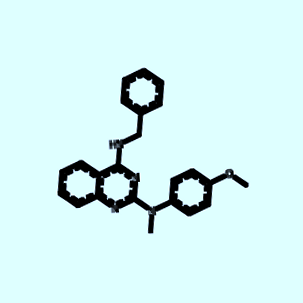 COc1ccc(N(C)c2nc(NCc3ccccc3)c3ccccc3n2)cc1